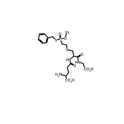 CCOP(=O)(CCSCC(NC(=O)CCC(N)C(=O)O)C(=O)NCC(=O)O)SCc1ccccc1